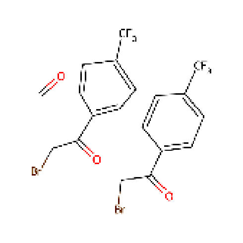 C=O.O=C(CBr)c1ccc(C(F)(F)F)cc1.O=C(CBr)c1ccc(C(F)(F)F)cc1